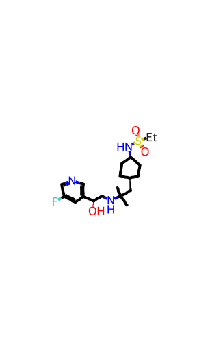 CCS(=O)(=O)N[C@H]1CC[C@@H](CC(C)(C)NC[C@H](O)c2cncc(F)c2)CC1